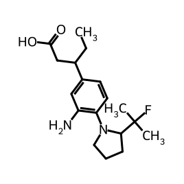 CCC(CC(=O)O)c1ccc(N2CCCC2C(C)(C)F)c(N)c1